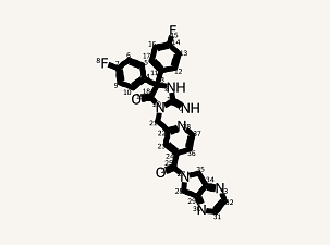 N=C1NC(c2ccc(F)cc2)(c2ccc(F)cc2)C(=O)N1Cc1cc(C(=O)N2Cc3nccnc3C2)ccn1